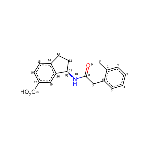 Cc1ccccc1CC(=O)N[C@@H]1CCc2ccc(C(=O)O)cc21